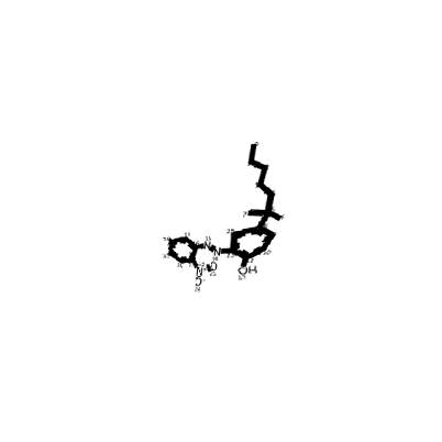 CCCCCC(C)(C)c1ccc(O)c(N=Nc2ccccc2[N+](=O)[O-])c1